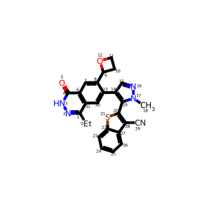 CCc1n[nH]c(=O)c2cc(C3CCO3)c(-c3cnn(C)c3-c3sc4ccccc4c3C#N)cc12